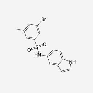 Cc1cc(Br)cc(S(=O)(=O)Nc2ccc3[nH]ccc3c2)c1